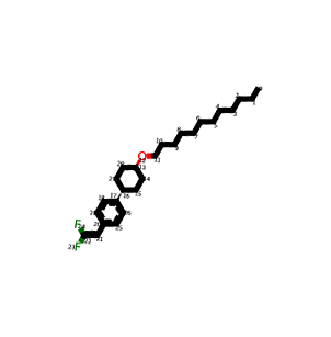 CCCCCCCCCCCCO[C@H]1CC[C@H](c2ccc(C=C(F)F)cc2)CC1